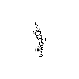 CCCCOC(=O)N(C)c1nc(Nc2ccc(S(=O)(=O)NCC3CCCO3)cc2)ncc1C#N